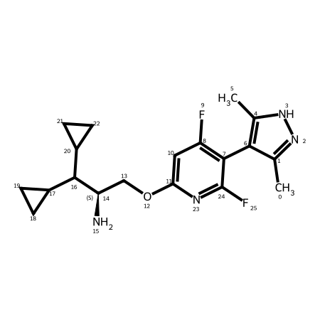 Cc1n[nH]c(C)c1-c1c(F)cc(OC[C@@H](N)C(C2CC2)C2CC2)nc1F